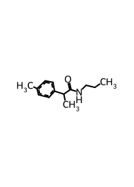 CCCNC(=O)C(C)c1ccc(C)cc1